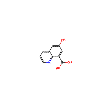 OB(O)c1cc(O)cc2cccnc12